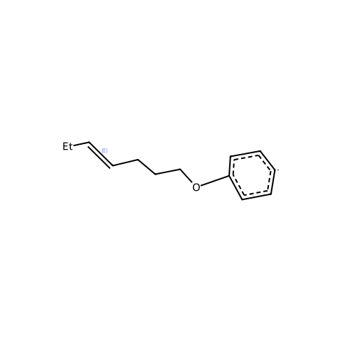 CC/C=C/CCCOc1cc[c]cc1